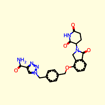 NC(=O)c1cn(Cc2ccc(COc3cccc4c3CN(C3CCC(=O)NC3=O)C4=O)cc2)nn1